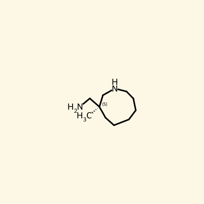 C[C@@]1(CN)CCCCCCNC1